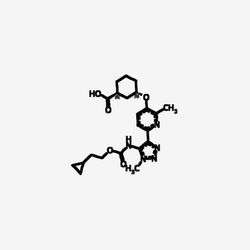 Cc1nc(-c2nnn(C)c2NC(=O)OCCC2CC2)ccc1O[C@H]1CCC[C@H](C(=O)O)C1